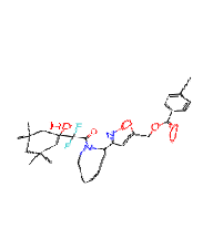 Cc1ccc(C(=O)OCc2cc(C3CCCN3C(=O)C(F)(F)C3(O)CC(C)(C)CC(C)(C)C3)no2)cc1